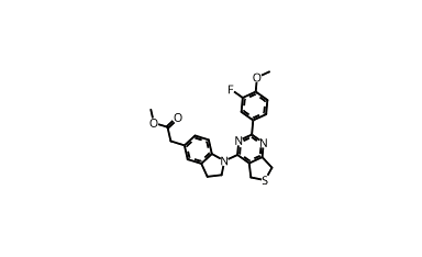 COC(=O)Cc1ccc2c(c1)CCN2c1nc(-c2ccc(OC)c(F)c2)nc2c1CSC2